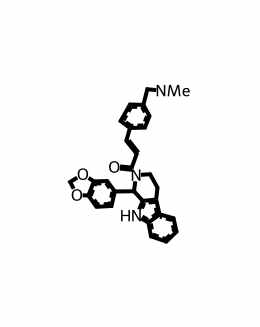 CNCc1ccc(/C=C/C(=O)N2CCc3c([nH]c4ccccc34)C2c2ccc3c(c2)OCO3)cc1